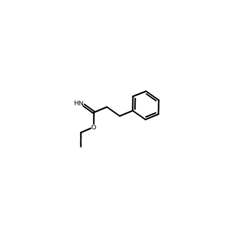 CCOC(=N)CCc1ccccc1